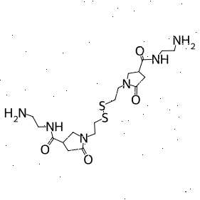 NCCNC(=O)C1CC(=O)N(CCSSCCN2CC(C(=O)NCCN)CC2=O)C1